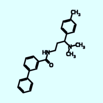 Cc1ccc(C(CCNC(=O)c2cccc(-c3ccccc3)c2)N(C)C)cc1